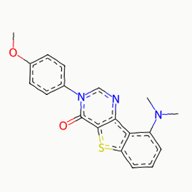 COc1ccc(-n2cnc3c(sc4cccc(N(C)C)c43)c2=O)cc1